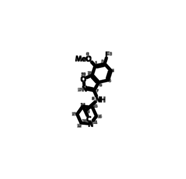 COc1c(F)ccc2c(NC3CN4CCC3CC4)noc12